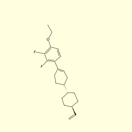 C=C[C@H]1CC[C@H](C2CC=C(c3ccc(OCC)c(F)c3F)CC2)CC1